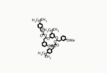 COc1cccc(CC(OC(=O)NCc2ccc(N(C)C)cc2)Oc2cc(OC(Cc3cccc(OC)c3)OC(=O)NCc3ccc(N(C)C)cc3)cc(N(C)C)c2)c1